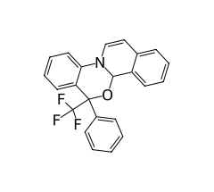 FC(F)(F)C1(c2ccccc2)OC2c3ccccc3C=CN2c2ccccc21